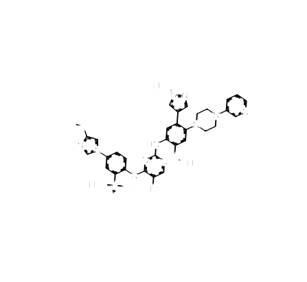 COc1cn(-c2ccc(Nc3nc(Nc4cc(-c5cnn(C)c5)c(N5CCN(c6cccnc6)CC5)cc4OC)ncc3Br)c(P(C)(C)=O)c2)cn1